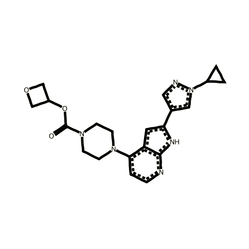 O=C(OC1COC1)N1CCN(c2ccnc3[nH]c(-c4cnn(C5CC5)c4)cc23)CC1